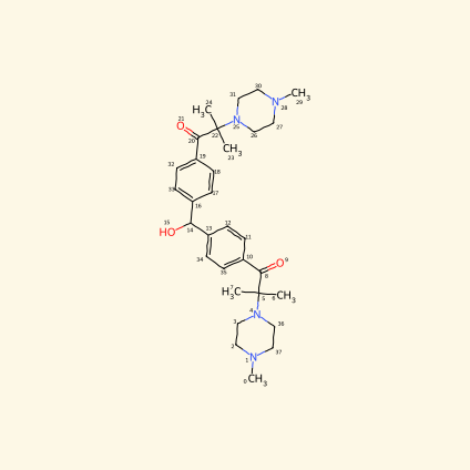 CN1CCN(C(C)(C)C(=O)c2ccc(C(O)c3ccc(C(=O)C(C)(C)N4CCN(C)CC4)cc3)cc2)CC1